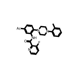 CC(=O)c1ccc(N2CCN(c3ccccc3C)CC2)c(NC(=O)c2ncccc2F)c1